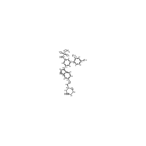 CS(=O)(=O)Nc1cc(-c2ccc(F)cc2F)cc(-c2cnc3cc(OC[C@@H]4CNCCO4)ccn23)c1